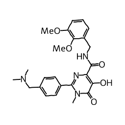 COc1cccc(CNC(=O)c2nc(-c3ccc(CN(C)C)cc3)n(C)c(=O)c2O)c1OC